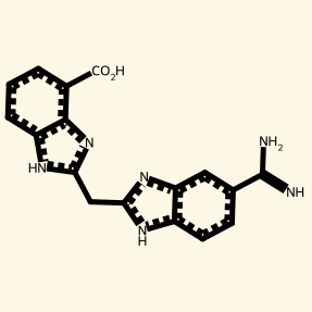 N=C(N)c1ccc2[nH]c(Cc3nc4c(C(=O)O)cccc4[nH]3)nc2c1